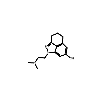 CN(C)CCn1nc2c3c(cc(O)cc31)CCC2